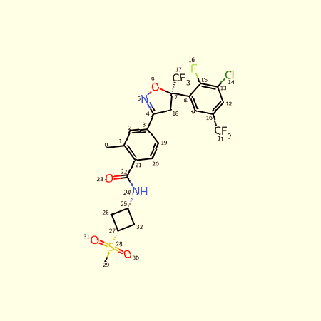 Cc1cc(C2=NO[C@](c3cc(C(F)(F)F)cc(Cl)c3F)(C(F)(F)F)C2)ccc1C(=O)N[C@H]1C[C@@H](S(C)(=O)=O)C1